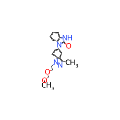 COCOCCn1nc(C)c2cc(-n3c(=O)[nH]c4ccccc43)ccc21